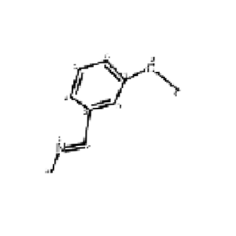 C/N=C/c1cccc(OC)c1